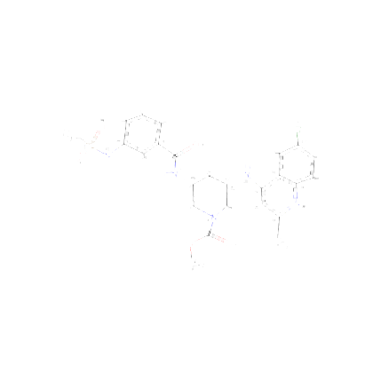 CC(C)(C)OC(=O)N1C[C@H](NC(=O)c2cccc(NS(C)(=O)=O)c2)C[C@H](Nc2cc(C(F)(F)F)nc3ccc(Cl)cc23)C1